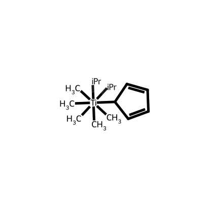 C[CH](C)[Ti]([CH3])([CH3])([CH3])([CH3])([CH3])([CH](C)C)[CH]1C=CC=C1